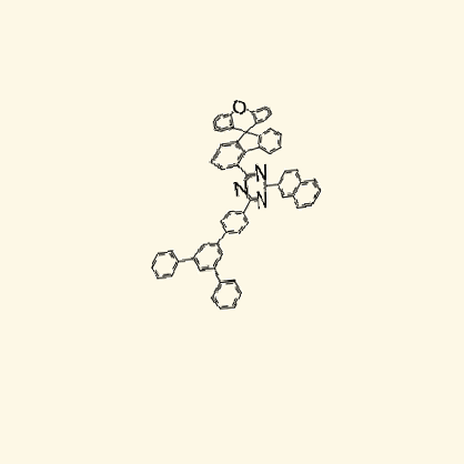 c1ccc(-c2cc(-c3ccccc3)cc(-c3ccc(-c4nc(-c5ccc6ccccc6c5)nc(-c5cccc6c5-c5ccccc5C65c6ccccc6Oc6ccccc65)n4)cc3)c2)cc1